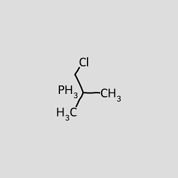 CC(C)CCl.P